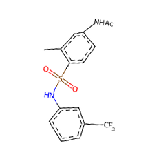 CC(=O)Nc1ccc(S(=O)(=O)Nc2cccc(C(F)(F)F)c2)c(C)c1